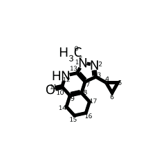 Cn1nc(C2CC2)c2c3c(c(=O)[nH]c21)CCCC3